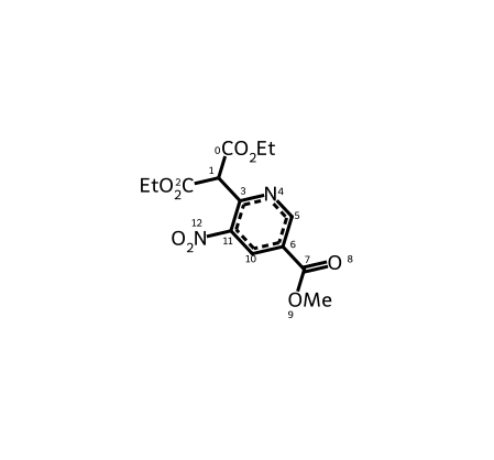 CCOC(=O)C(C(=O)OCC)c1ncc(C(=O)OC)cc1[N+](=O)[O-]